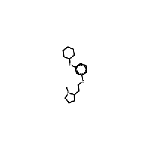 CN1CCCC1CCOc1cccc(OC2CCCCC2)c1